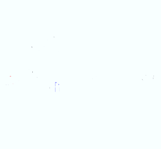 Cc1cccc(-c2cccc(=O)[nH]2)c1